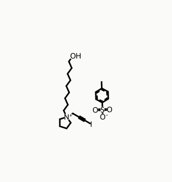 Cc1ccc(S(=O)(=O)[O-])cc1.OCCCCCCCCC[N+]1(CC#CI)CCCC1